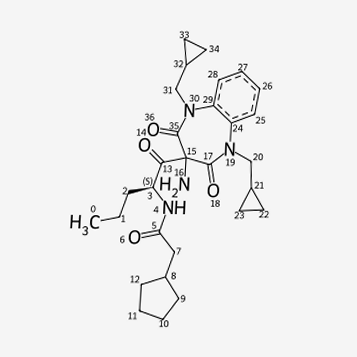 CCC[C@H](NC(=O)CC1CCCC1)C(=O)C1(N)C(=O)N(CC2CC2)c2ccccc2N(CC2CC2)C1=O